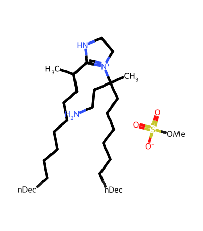 CCCCCCCCCCCCCCCCCC(C)C1=[N+](C(C)(CCN)CCCCCCCCCCCCCCCC)CCN1.COS(=O)(=O)[O-]